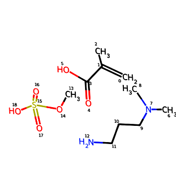 C=C(C)C(=O)O.CN(C)CCCN.COS(=O)(=O)O